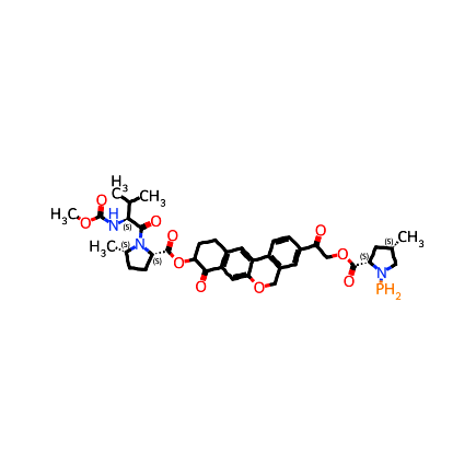 COC(=O)N[C@H](C(=O)N1[C@@H](C)CC[C@H]1C(=O)OC1CCc2cc3c(cc2C1=O)OCc1cc(C(=O)COC(=O)[C@@H]2C[C@H](C)CN2P)ccc1-3)C(C)C